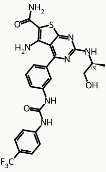 C[C@@H](CO)Nc1nc(-c2cccc(NC(=O)Nc3ccc(C(F)(F)F)cc3)c2)c2c(N)c(C(N)=O)sc2n1